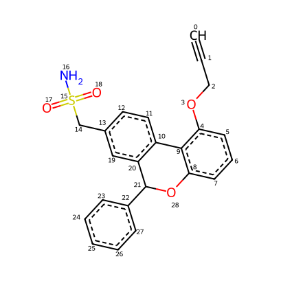 C#CCOc1cccc2c1-c1ccc(CS(N)(=O)=O)cc1C(c1ccccc1)O2